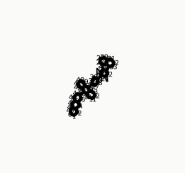 c1ccc2cc3cc(-c4c5ccccc5c(-c5ccc(-c6ncc7c(n6)-c6cccc8cccc-7c68)cc5)c5ccccc45)ccc3cc2c1